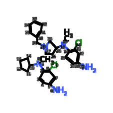 CN(c1ccc(N)cc1Cl)C1CCCC1.CN(c1ccc(N)cc1Cl)C1CCN(Cc2ccccc2)C1